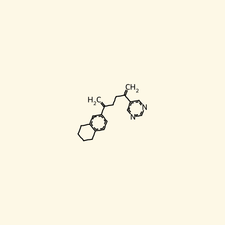 C=C(CCC(=C)c1ccc2c(c1)CCCC2)c1cncnc1